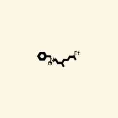 CCC(C)=CCCC(C)=CC=[N+]([O-])Cc1ccccc1